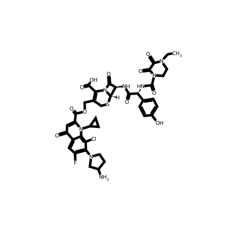 CCN1CCN(C(=O)N[C@@H](C(=O)N[C@@H]2C(=O)N3C(C(=O)O)=C(COC(=O)c4cc(=O)c5cc(F)c(N6CCC(N)C6)c(Cl)c5n4C4CC4)CS[C@H]23)c2ccc(O)cc2)C(=O)C1=O